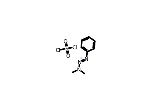 CN(C)/N=N/c1ccccc1.O=S(=O)(Cl)Cl